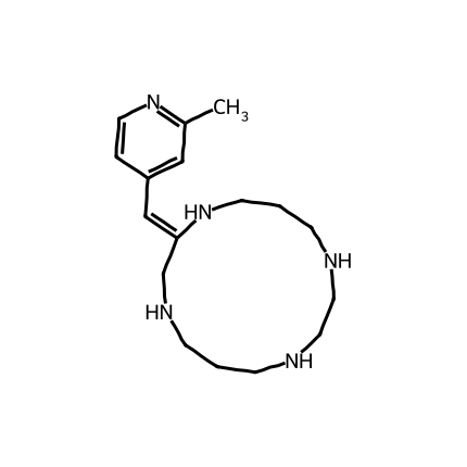 Cc1cc(C=C2CNCCCNCCNCCCN2)ccn1